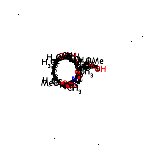 CO[C@H]1C[C@@H]2CC[C@@H](C)[C@@](O)(O2)C(=O)C(=O)N2CCCC[C@H]2C(=O)O[C@H]([C@H](C)C[C@@H]2CC[C@@H](OCCO)[C@H](OC)C2)CC(=O)[C@H](C)/C=C(\C)[C@@H](O)[C@@H](C)C(=O)[C@H](C)C[C@H](C)/C=C/C=C/C=C/1C